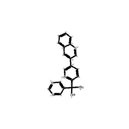 CC(C)(C)C(O)(c1cncnc1)c1ccc(-c2cnc3ccccc3c2)cn1